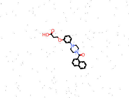 O=C(O)CCOc1cccc(N2CCN(C(=O)c3cccc4ccccc34)CC2)c1